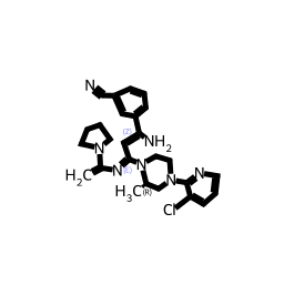 C=C(/N=C(\C=C(/N)c1cccc(C#N)c1)N1CCN(c2ncccc2Cl)C[C@H]1C)N1CCCC1